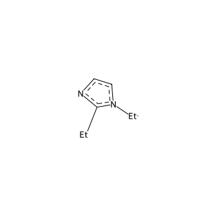 C[CH]n1ccnc1CC